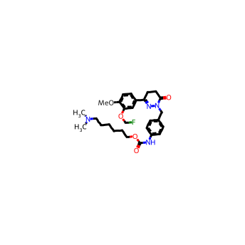 COc1ccc(C2=NN(Cc3ccc(NC(=O)OCCCCCCN(C)C)cc3)C(=O)CC2)cc1OCF